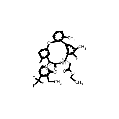 CCOC(=O)C[C@@H]1NC(=O)[C@@H](n2ccc(C(F)(F)F)c(CC)c2=O)c2cc(ccc2F)Oc2cccc(C)c2-c2cc(C)c(F)c1c2